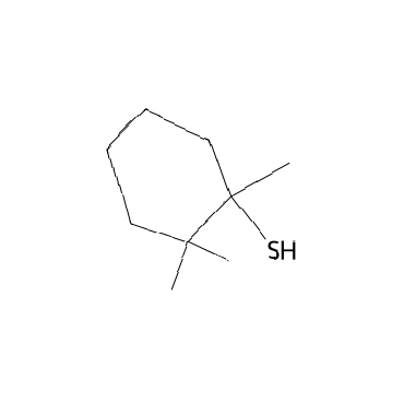 CC1(C)CCCCC1(C)S